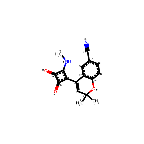 CNc1c(C2=CC(C)(C)Oc3ccc(C#N)cc32)c(=O)c1=O